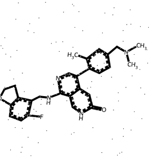 Cc1cc(CN(C)C)ccc1-c1cnc(NCc2c(F)ccc3c2CCO3)c2c[nH]c(=O)cc12